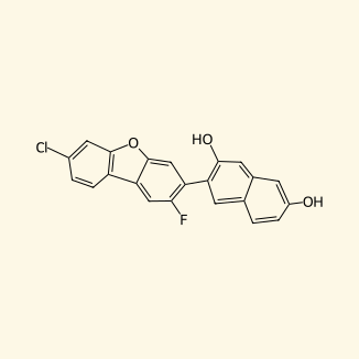 Oc1ccc2cc(-c3cc4oc5cc(Cl)ccc5c4cc3F)c(O)cc2c1